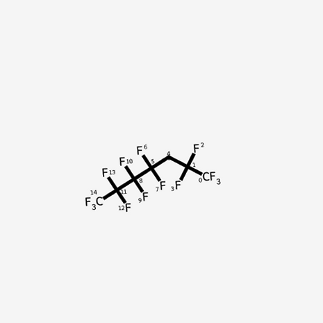 FC(F)(F)C(F)(F)[CH]C(F)(F)C(F)(F)C(F)(F)C(F)(F)F